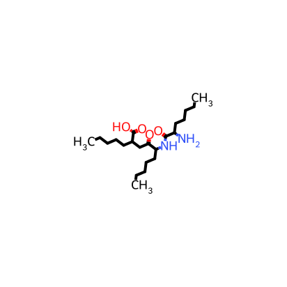 CCCCCC(N)C(=O)NC(CCCCC)C(=O)CC(CCCCC)C(=O)O